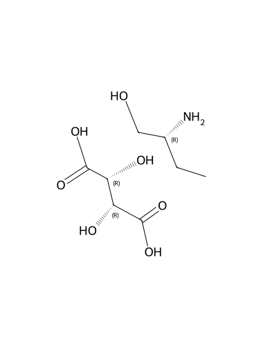 CC[C@@H](N)CO.O=C(O)[C@H](O)[C@@H](O)C(=O)O